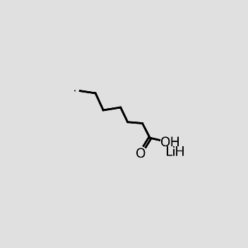 [CH2]CCCCCC(=O)O.[LiH]